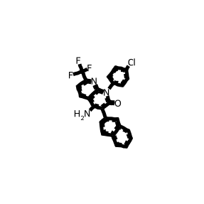 Nc1c(-c2ccc3ccccc3c2)c(=O)n(-c2ccc(Cl)cc2)c2nc(C(F)(F)F)ccc12